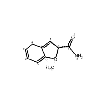 NC(=O)C1C=C2CC=CC=C2O1.O